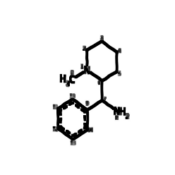 CN1CCCCC1C(N)c1ccccc1